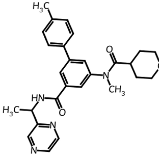 Cc1ccc(-c2cc(C(=O)NC(C)c3cnccn3)cc(N(C)C(=O)C3CCOCC3)c2)cc1